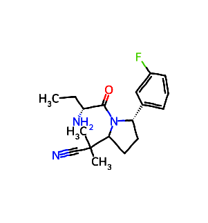 CC[C@@H](N)C(=O)N1C(C(C)(C)C#N)CC[C@H]1c1cccc(F)c1